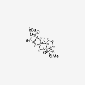 CCCCOC(=O)c1cc2c(cc1C(C)C)CCC1C(C)(C(=O)OC)CCCC21C